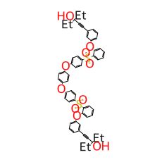 CCC(O)(C#Cc1cccc(Oc2ccccc2S(=O)(=O)c2ccc(Oc3ccc(Oc4ccc(S(=O)(=O)c5ccccc5Oc5cccc(C#CC(O)(CC)CC)c5)cc4)cc3)cc2)c1)CC